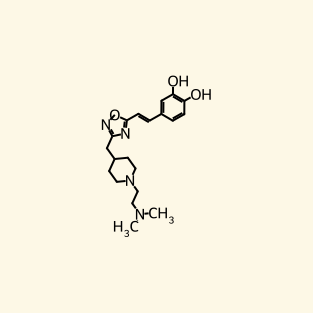 CN(C)CCN1CCC(Cc2noc(C=Cc3ccc(O)c(O)c3)n2)CC1